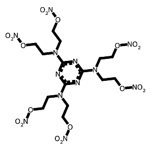 O=[N+]([O-])OCCN(CCO[N+](=O)[O-])c1nc(N(CCO[N+](=O)[O-])CCO[N+](=O)[O-])nc(N(CCO[N+](=O)[O-])CCO[N+](=O)[O-])n1